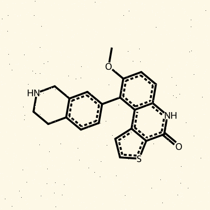 COc1ccc2[nH]c(=O)c3sccc3c2c1-c1ccc2c(c1)CNCC2